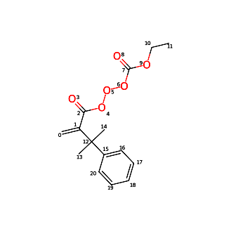 C=C(C(=O)OOOC(=O)OCC)C(C)(C)c1ccccc1